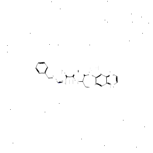 CN1C(=O)C(NC(=O)C(=N)/N=C\NCc2ccccc2)COc2cc3nccnc3cc21